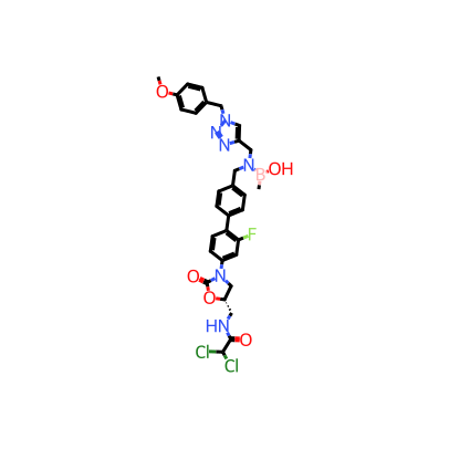 COc1ccc(Cn2cc(CN(Cc3ccc(-c4ccc(N5C[C@H](CNC(=O)C(Cl)Cl)OC5=O)cc4F)cc3)B(C)O)nn2)cc1